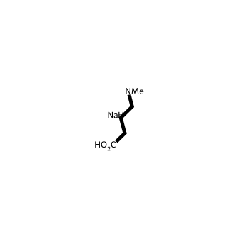 CNCCCC(=O)O.[NaH]